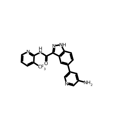 Nc1cncc(-c2ccc3[nH]nc(C(=O)Nc4ncccc4C(F)(F)F)c3c2)c1